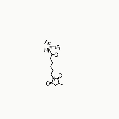 CC(=O)[C@@H](NC(=O)CCCCCN1C(=O)CC(C)C1=O)C(C)C